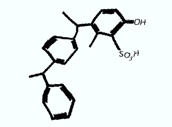 Cc1c(C(C)c2ccc(C(C)c3ccccc3)cc2)ccc(O)c1S(=O)(=O)O